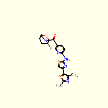 Cc1nc(C)c(-c2csc(Nc3ccc(C(=O)N4C=C5CC[C@H]4CO5)cn3)n2)s1